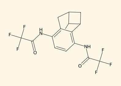 CC1C2Cc3c(NC(=O)C(F)(F)F)ccc(NC(=O)C(F)(F)F)c3C1C2